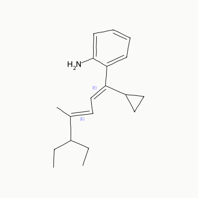 CCC(CC)/C(C)=C/C=C(/c1ccccc1N)C1CC1